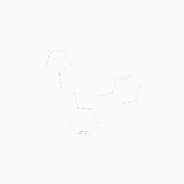 c1ccc(C2CC(Cc3c[nH]cn3)c3ccccc32)cc1